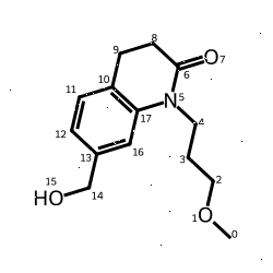 COCCCN1C(=O)CCc2ccc(CO)cc21